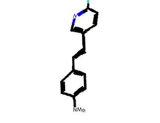 CNc1ccc(C=Cc2ccc(F)nc2)cc1